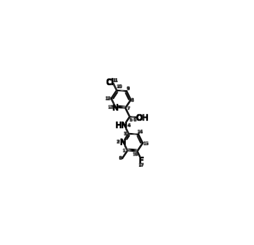 Cc1nc(NC(O)c2ccc(Cl)cn2)ccc1F